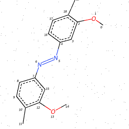 COc1cc(N=Nc2ccc(C)c(OC)c2)ccc1C